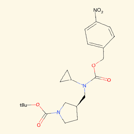 CC(C)(C)OC(=O)N1CC[C@H](CN(C(=O)OCc2ccc([N+](=O)[O-])cc2)C2CC2)C1